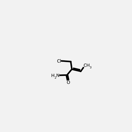 CC=C(CCl)C(N)=O